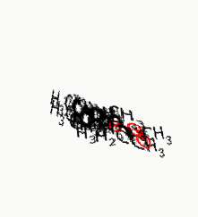 C=C(C)[C@@H](OC(C)=O)[C@H]1C[C@@H](C)[C@H]2[C@H](O1)[C@H](C)[C@@]1(C)[C@@H]3CC[C@H]4C(C)(C)C(C)CC[C@@]45C[C@@]35CC[C@]21C